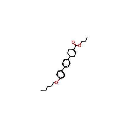 CCCCCOc1ccc(-c2ccc(C3CC=C(C(=O)OCCC)CC3)cc2)cc1